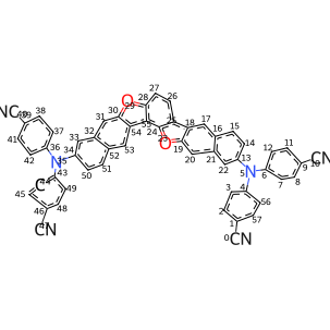 N#Cc1ccc(N(c2ccc(C#N)cc2)c2ccc3cc4c(cc3c2)oc2c4ccc3oc4cc5cc(N(c6ccc(C#N)cc6)c6ccc(C#N)cc6)ccc5cc4c32)cc1